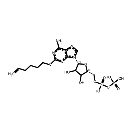 C=CCCCCSc1nc(N)c2ncn([C@@H]3O[C@H](COP(=O)(O)OP(=O)(O)O)C(O)C3O)c2n1